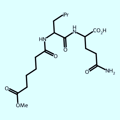 COC(=O)CCCCC(=O)NC(CC(C)C)C(=O)NC(CCC(N)=O)C(=O)O